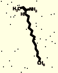 CC=C(N)NCCCCCCCCCCCCCC